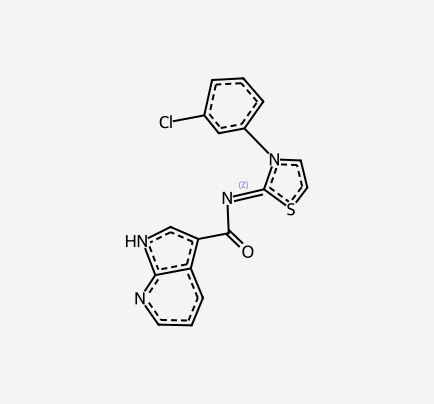 O=C(/N=c1\sccn1-c1cccc(Cl)c1)c1c[nH]c2ncccc12